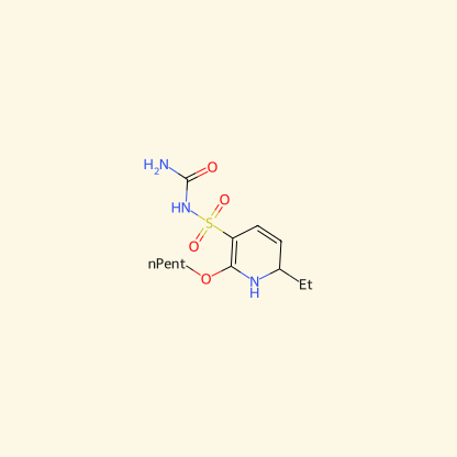 CCCCCOC1=C(S(=O)(=O)NC(N)=O)C=CC(CC)N1